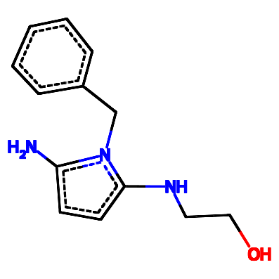 Nc1ccc(NCCO)n1Cc1ccccc1